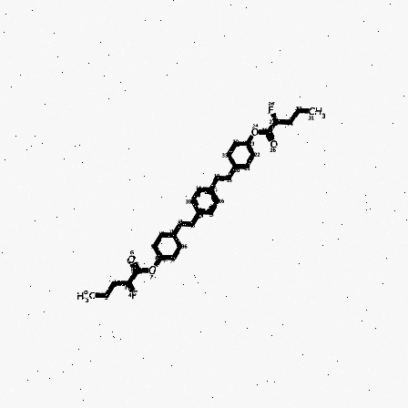 CCCC(F)C(=O)OC1CCC(CCc2ccc(CCC3CCC(OC(=O)C(F)CCC)CC3)cc2)CC1